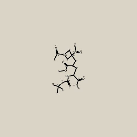 COC(=O)C(CC(NC(=O)OC(C)(C)C)C(=O)OC)CC1([N+](=O)[O-])CN(C(C)=O)C1